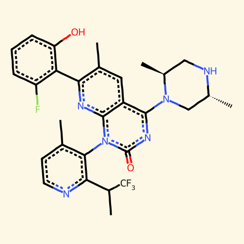 Cc1cc2c(N3C[C@@H](C)NC[C@@H]3C)nc(=O)n(-c3c(C)ccnc3C(C)C(F)(F)F)c2nc1-c1c(O)cccc1F